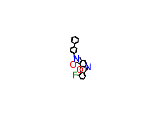 N#Cc1cccc(F)c1Oc1cccc2c1C(=O)N(Cc1ccc(-c3ccccc3)cc1)C2